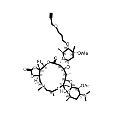 C#CCOCCCO[C@H]1[C@H](C)O[C@@H](O[C@H]2[C@H](C)[C@@H](O[C@@H]3O[C@H](C)C[C@H](N(C)C)[C@H]3OC(C)=O)[C@](C)(O)C[C@@H](C)CN(C)[C@H](C)[C@H]3OC(=O)O[C@]3(C)[C@@H](CC)OC(=O)[C@@H]2C)C[C@@]1(C)OC